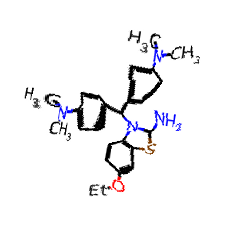 CCOc1ccc2c(c1)SC(N)N2C(c1ccc(N(C)C)cc1)c1ccc(N(C)C)cc1